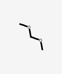 CO[CH]OC